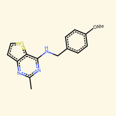 COc1ccc(CNc2nc(C)nc3ccsc23)cc1